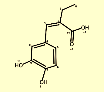 CCC(=Cc1ccc(O)c(O)c1)C(=O)O